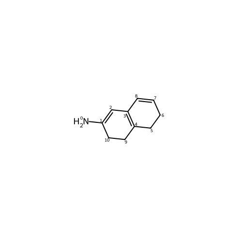 NC1=CC2=C(CCC=C2)CC1